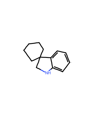 [c]1ccc2c(c1)NCC21CCCCC1